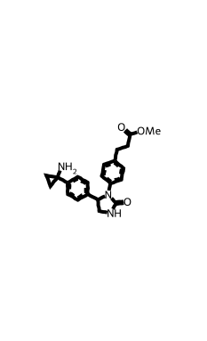 COC(=O)CCc1ccc(N2C(=O)NCC2c2ccc(C3(N)CC3)cc2)cc1